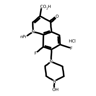 CCCn1cc(C(=O)O)c(=O)c2cc(F)c(N3CCN(O)CC3)c(F)c21.Cl